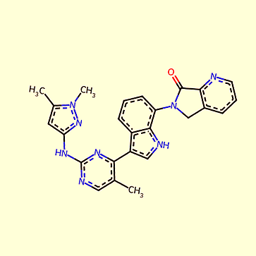 Cc1cnc(Nc2cc(C)n(C)n2)nc1-c1c[nH]c2c(N3Cc4cccnc4C3=O)cccc12